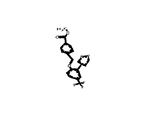 COC(=O)c1ccc(COc2ccc(C(F)(F)F)cc2-c2ccnnc2)cc1